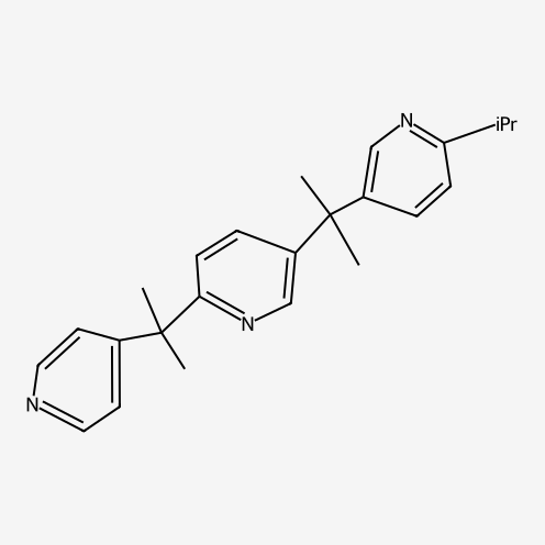 CC(C)c1ccc(C(C)(C)c2ccc(C(C)(C)c3ccncc3)nc2)cn1